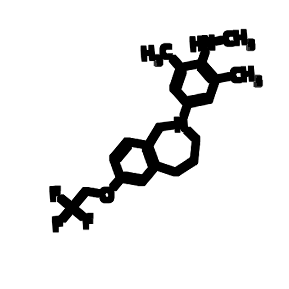 CNc1c(C)cc(N2CCCc3cc(OCC(F)(F)F)ccc3C2)cc1C